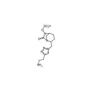 NCCc1cn(CC2CCC3CN2C(=O)N3OS(=O)(=O)O)nn1